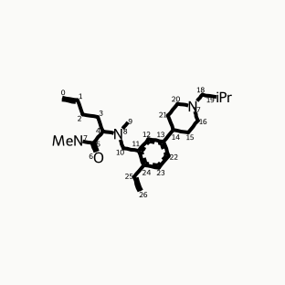 C=CCCC(C(=O)NC)N(C)Cc1cc(C2CCN(CC(C)C)CC2)ccc1C=C